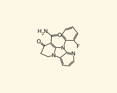 NC(=O)C1=C2N(CCC1=O)c1cccnc1N2c1ccccc1F